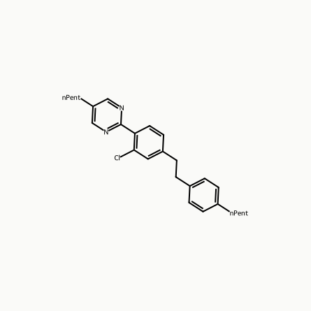 CCCCCc1ccc(CCc2ccc(-c3ncc(CCCCC)cn3)c(Cl)c2)cc1